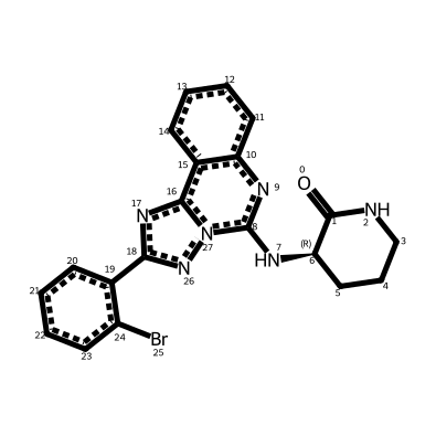 O=C1NCCC[C@H]1Nc1nc2ccccc2c2nc(-c3ccccc3Br)nn12